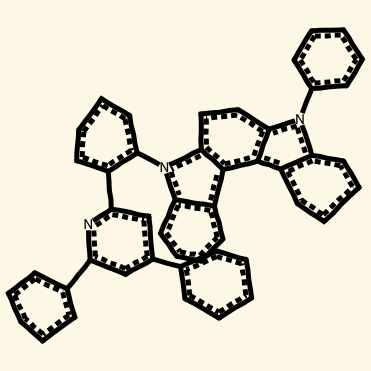 c1ccc(-c2cc(-c3ccccc3)nc(-c3ccccc3-n3c4ccccc4c4c5c6ccccc6n(-c6ccccc6)c5ccc43)c2)cc1